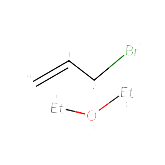 C=CCBr.CCOCC